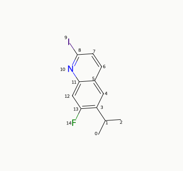 CC(C)c1cc2ccc(I)nc2cc1F